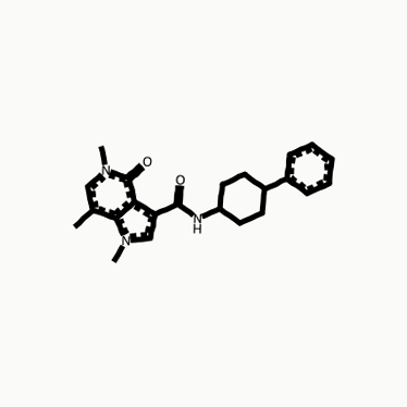 Cc1cn(C)c(=O)c2c(C(=O)NC3CCC(c4ccccc4)CC3)cn(C)c12